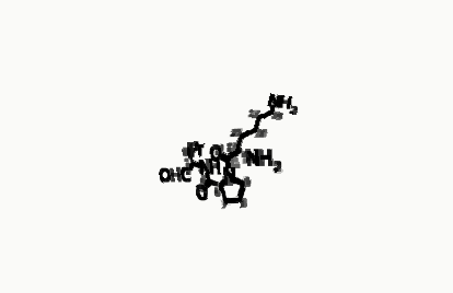 CC(C)[C@@H](C=O)NC(=O)[C@@H]1CCCN1C(=O)[C@@H](N)CCCCN